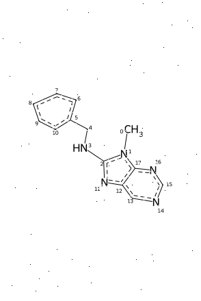 Cn1c(NCc2ccccc2)nc2cncnc21